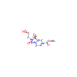 CC(C)(C)OC(=O)N1CCN2C(=O)N(CCO)C(=O)C2C1